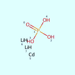 O=P(O)(O)O.[Cd].[LiH].[LiH]